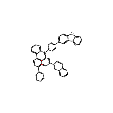 c1ccc(-c2ccc(-c3ccccc3N(c3ccc(-c4ccc5oc6ccccc6c5c4)cc3)c3cccc(-c4ccc5ccccc5c4)c3)cc2)cc1